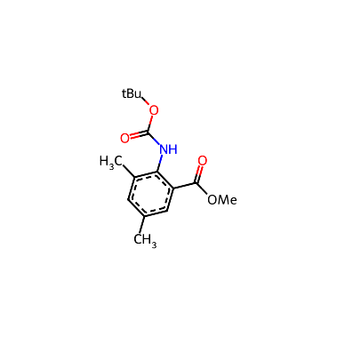 COC(=O)c1cc(C)cc(C)c1NC(=O)OC(C)(C)C